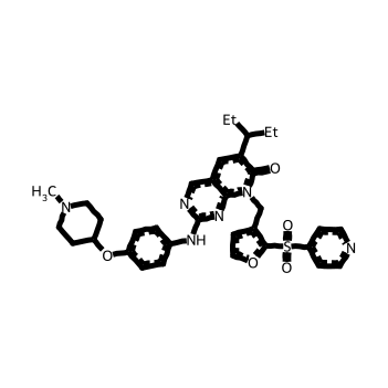 CCC(CC)c1cc2cnc(Nc3ccc(OC4CCN(C)CC4)cc3)nc2n(Cc2ccoc2S(=O)(=O)c2ccncc2)c1=O